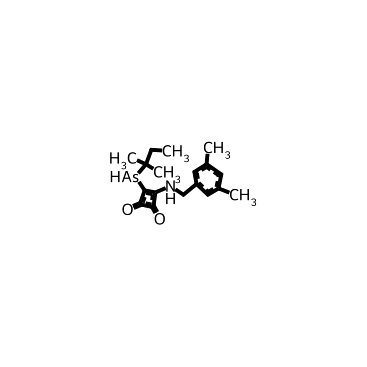 CCC(C)(C)[AsH]c1c(NCc2cc(C)cc(C)c2)c(=O)c1=O